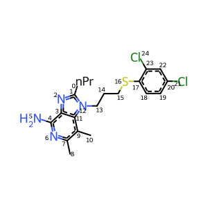 CCCc1nc2c(N)nc(C)c(C)c2n1CCCSc1ccc(Cl)cc1Cl